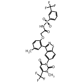 Cc1ccc(OCC(=O)NS(=O)(=O)c2cccc(C(F)(F)F)c2)c(-c2nsc3ccc(-n4c(=O)cc(C(F)(F)F)n(C)c4=O)cc23)c1